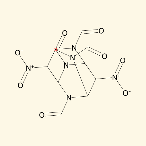 O=CN1C2C([N+](=O)[O-])C3N(C=O)C1C([N+](=O)[O-])C(N2C=O)N3C=O